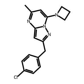 Cc1cc(N2CCC2)n2nc(Cc3ccc(Cl)cc3)cc2n1